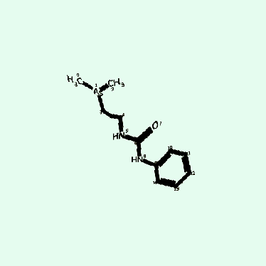 C[As](C)CCNC(=O)Nc1ccccc1